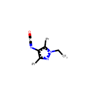 CC(C)c1nn(CC(F)(F)F)c(C(C)C)c1N=C=O